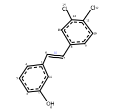 Oc1cccc(/C=C/c2ccc(Cl)c(Cl)c2)c1